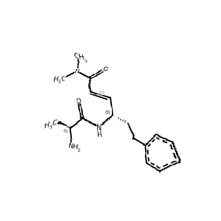 C[C@H](N)C(=O)N[C@H](/C=C/C(=O)N(C)C)CCc1ccccc1